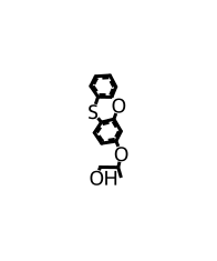 CC(CO)Oc1ccc2c(c1)Oc1ccccc1S2